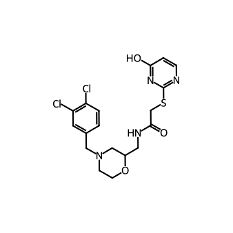 O=C(CSc1nccc(O)n1)NCC1CN(Cc2ccc(Cl)c(Cl)c2)CCO1